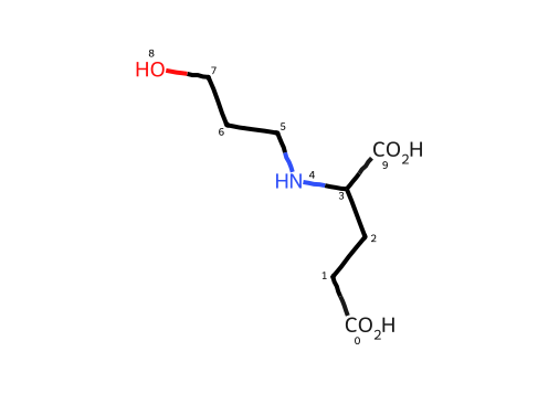 O=C(O)CCC(NCCCO)C(=O)O